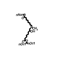 CCCCCCCCCOC(=O)CCCCCCCN(C)CC(O)CCCCCC(=O)OC(CCCCCCCC)CCCCCCCC